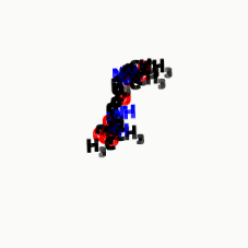 CC[C@H]1CC[C@@H](c2nc3ccc4cc5c(cc4c3[nH]2)OCc2cc(-c3cnc([C@@H]4CC[C@H](C)N4C(=O)[C@@H](NC(=O)OC)C(C)C)[nH]3)ccc2-5)N1C(=O)[C@@H](NC(=O)OC)[C@H]1CCCOC1